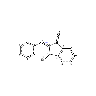 O=C1/C(=C/c2ccccc2)C(Br)c2ccccc21